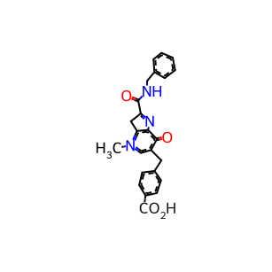 Cn1cc(Cc2ccc(C(=O)O)cc2)c(=O)c2c1CC(C(=O)NCc1ccccc1)=N2